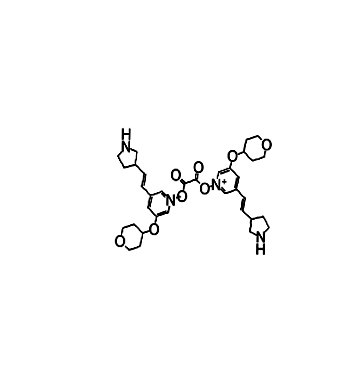 O=C(O[n+]1cc(C=CC2CCNC2)cc(OC2CCOCC2)c1)C(=O)O[n+]1cc(C=CC2CCNC2)cc(OC2CCOCC2)c1